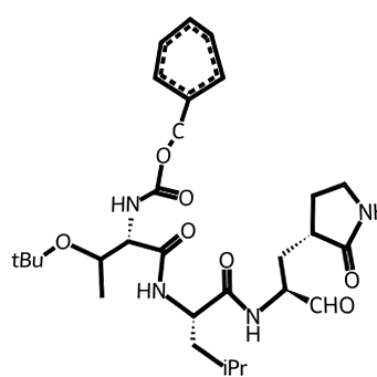 CC(C)C[C@H](NC(=O)[C@@H](NC(=O)OCc1ccccc1)C(C)OC(C)(C)C)C(=O)N[C@H](C=O)C[C@@H]1CCNC1=O